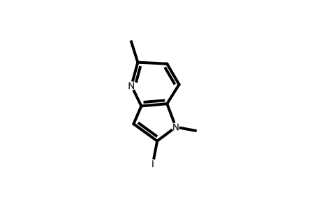 Cc1ccc2c(cc(I)n2C)n1